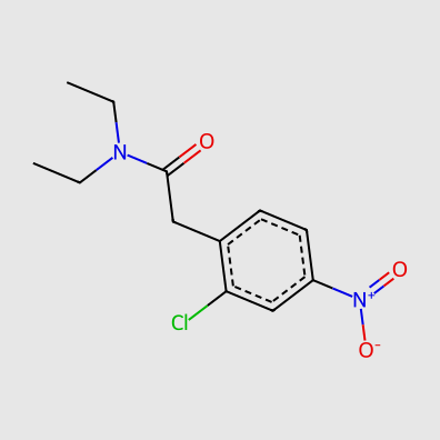 CCN(CC)C(=O)Cc1ccc([N+](=O)[O-])cc1Cl